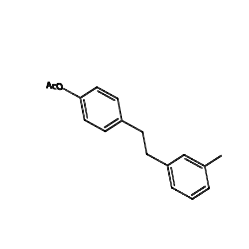 CC(=O)Oc1ccc(CCc2cccc(C)c2)cc1